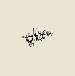 Cc1cc(Nc2nccc(OC(C)C)n2)cc(Cl)n1